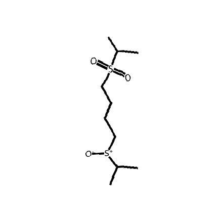 CC(C)[S+]([O-])CCCCS(=O)(=O)C(C)C